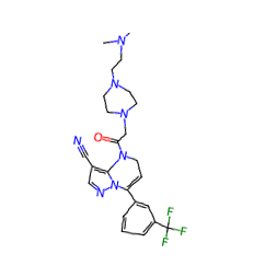 CN(C)CCN1CCN(CC(=O)N2CC=C(c3cccc(C(F)(F)F)c3)n3ncc(C#N)c32)CC1